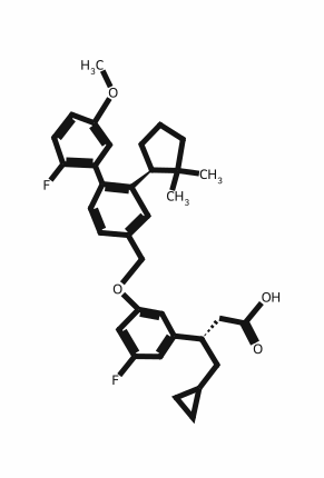 COc1ccc(F)c(-c2ccc(COc3cc(F)cc([C@H](CC(=O)O)CC4CC4)c3)cc2[C@H]2CCCC2(C)C)c1